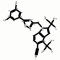 N#Cc1ccc2c(cc(C(F)(F)F)n2Cc2noc(-c3cc(F)cc(F)c3)n2)c1C(F)(F)F